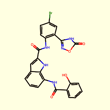 O=C(Nc1ccc(Br)cc1-c1noc(=O)[nH]1)c1cc2cccc(NC(=O)c3ccccc3O)c2[nH]1